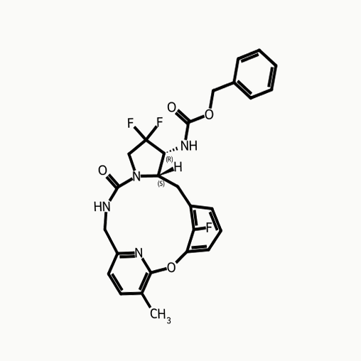 Cc1ccc2nc1Oc1cccc(c1F)C[C@H]1[C@@H](NC(=O)OCc3ccccc3)C(F)(F)CN1C(=O)NC2